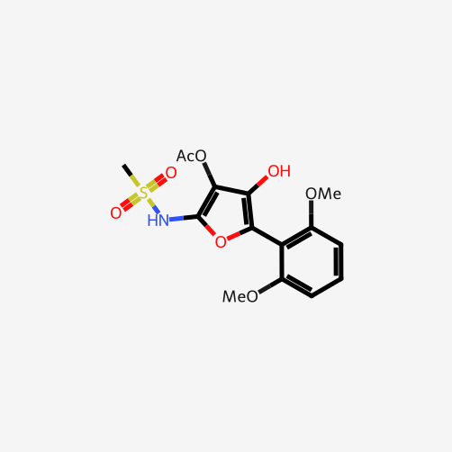 COc1cccc(OC)c1-c1oc(NS(C)(=O)=O)c(OC(C)=O)c1O